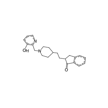 O=C1c2ccccc2CC1CCC1CCN(Cc2ncccc2O)CC1